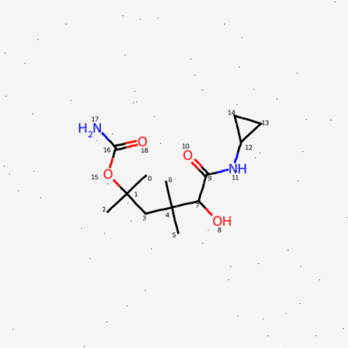 CC(C)(CC(C)(C)C(O)C(=O)NC1CC1)OC(N)=O